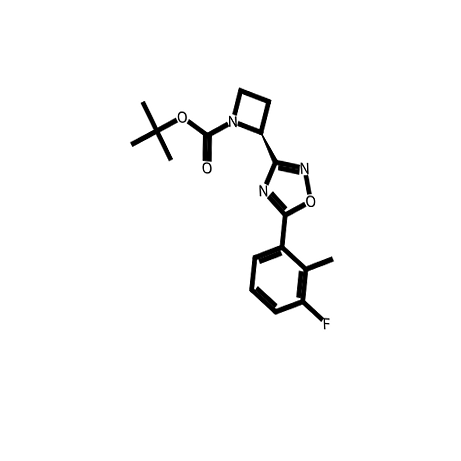 Cc1c(F)cccc1-c1nc([C@@H]2CCN2C(=O)OC(C)(C)C)no1